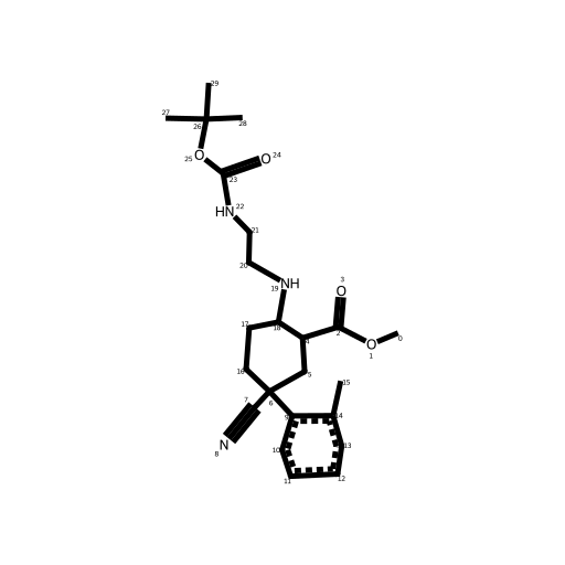 COC(=O)C1CC(C#N)(c2ccccc2C)CCC1NCCNC(=O)OC(C)(C)C